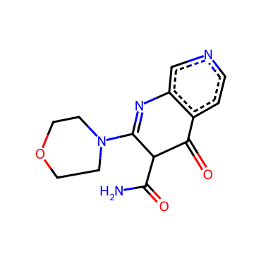 NC(=O)C1C(=O)c2ccncc2N=C1N1CCOCC1